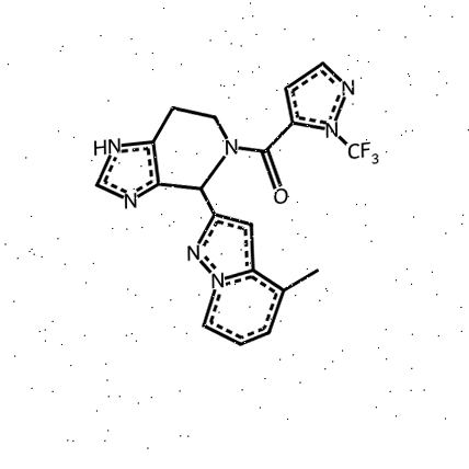 Cc1cccn2nc(C3c4nc[nH]c4CCN3C(=O)c3ccnn3C(F)(F)F)cc12